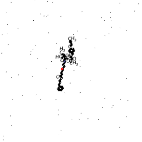 CC#CCOc1ccc(C[C@H](NC(=O)[C@@H](/C=C/CCCCCCC(=O)CCCCc2ccccc2)[C@@](O)(CCC)C(=O)O)C(=O)OC)cc1